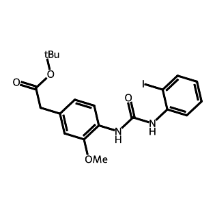 COc1cc(CC(=O)OC(C)(C)C)ccc1NC(=O)Nc1ccccc1I